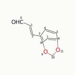 O=C/C=C/c1ccc2cc1OCO2